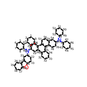 c1ccc(-c2ccccc2N(c2ccc3oc4ccccc4c3c2)c2ccc3c(c2)c2ccccc2c2c4ccc(N(c5ccccc5)c5ccccc5)cc4ccc32)cc1